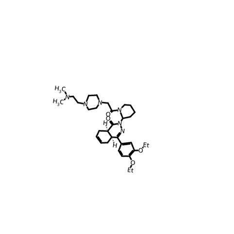 CCOc1ccc(C2=NN(C3CCCCN3C(=O)CN3CCN(CCN(C)C)CC3)C(=O)[C@@H]3CC=CC[C@H]23)cc1OCC